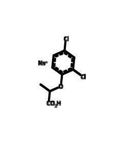 CC(Oc1ccc(Cl)cc1Cl)C(=O)O.[Na+]